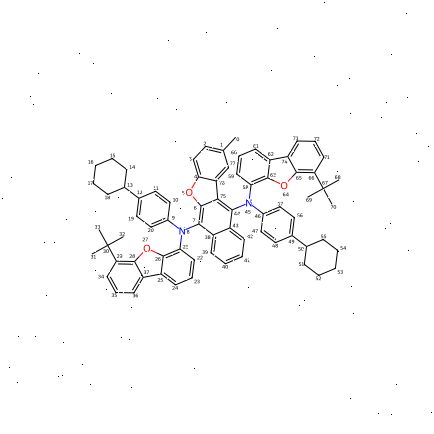 Cc1ccc2oc3c(N(c4ccc(C5CCCCC5)cc4)c4cccc5c4oc4c(C(C)(C)C)cccc45)c4ccccc4c(N(c4ccc(C5CCCCC5)cc4)c4cccc5c4oc4c(C(C)(C)C)cccc45)c3c2c1